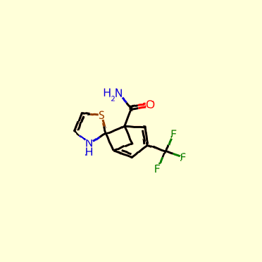 NC(=O)C12C=C(C(F)(F)F)C=C(C1)C21NC=CS1